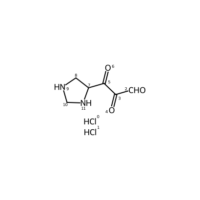 Cl.Cl.O=CC(=O)C(=O)C1CNCN1